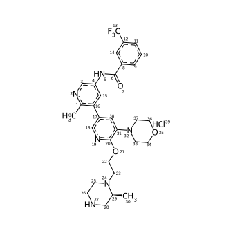 Cc1ncc(NC(=O)c2cccc(C(F)(F)F)c2)cc1-c1cnc(OCCN2CCNC[C@@H]2C)c(N2CCOCC2)c1.Cl